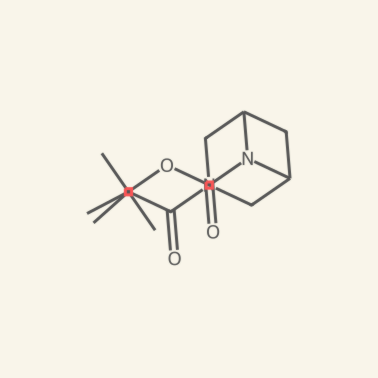 CCC(=O)N1CC2CC(C1)N2C(=O)OC(C)(C)C